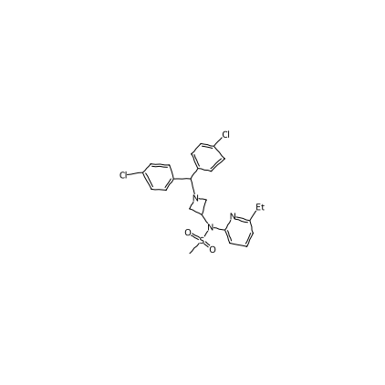 CCc1cccc(N(C2CN(C(c3ccc(Cl)cc3)c3ccc(Cl)cc3)C2)S(C)(=O)=O)n1